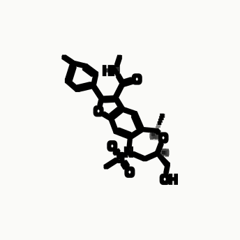 CNC(=O)c1c(-c2ccc(C)cc2)oc2cc3c(cc12)[C@H](C)O[C@@H](CO)CN3S(C)(=O)=O